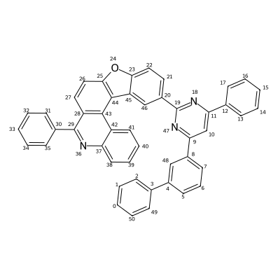 c1ccc(-c2cccc(-c3cc(-c4ccccc4)nc(-c4ccc5oc6ccc7c(-c8ccccc8)nc8ccccc8c7c6c5c4)n3)c2)cc1